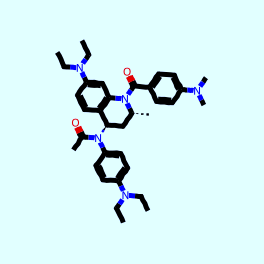 CCN(CC)c1ccc(N(C(C)=O)[C@H]2C[C@@H](C)N(C(=O)c3ccc(N(C)C)cc3)c3cc(N(CC)CC)ccc32)cc1